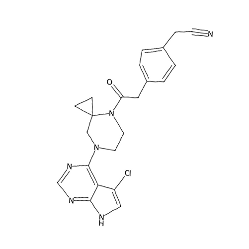 N#CCc1ccc(CC(=O)N2CCN(c3ncnc4[nH]cc(Cl)c34)CC23CC3)cc1